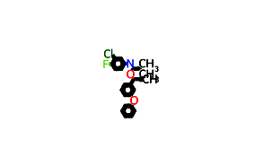 C#CC(O/C(=N\c1ccc(F)c(Cl)c1)C(C)C)c1cccc(Oc2ccccc2)c1